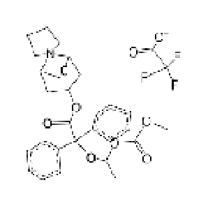 COC(=O)OC(C)OC(C(=O)OC1CC2CCC(C1)[N+]21CCCC1)(c1ccccc1)c1ccccc1.O=C([O-])C(F)(F)F